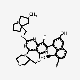 C#Cc1c(F)ccc2cc(O)cc(-c3nc4c5c(nc(OC[C@@]67CCCN6C[C@H](C)C7)nc5c3F)N3CCOCC3CO4)c12